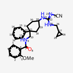 COc1ccccc1C(=O)NCC1(c2ccccc2)CCC(N/C(=N/C#N)NCC2CC2)CC1